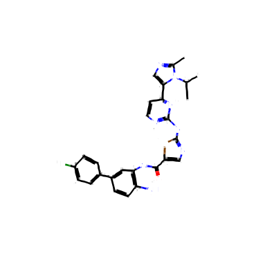 Cc1ncc(-c2ccnc(Nc3ncc(C(=O)Nc4cc(-c5ccc(F)cc5)ccc4N)s3)n2)n1C(C)C